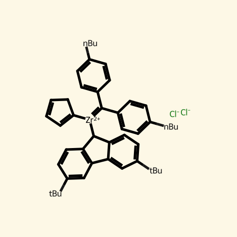 CCCCc1ccc([C](c2ccc(CCCC)cc2)=[Zr+2]([C]2=CC=CC2)[CH]2c3ccc(C(C)(C)C)cc3-c3cc(C(C)(C)C)ccc32)cc1.[Cl-].[Cl-]